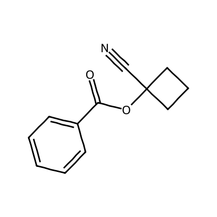 N#CC1(OC(=O)c2ccccc2)CCC1